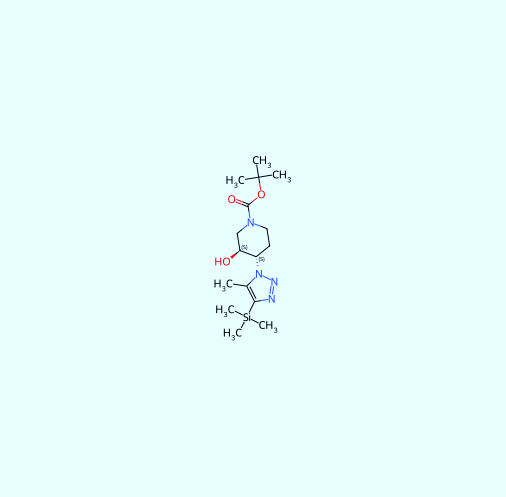 Cc1c([Si](C)(C)C)nnn1[C@H]1CCN(C(=O)OC(C)(C)C)C[C@@H]1O